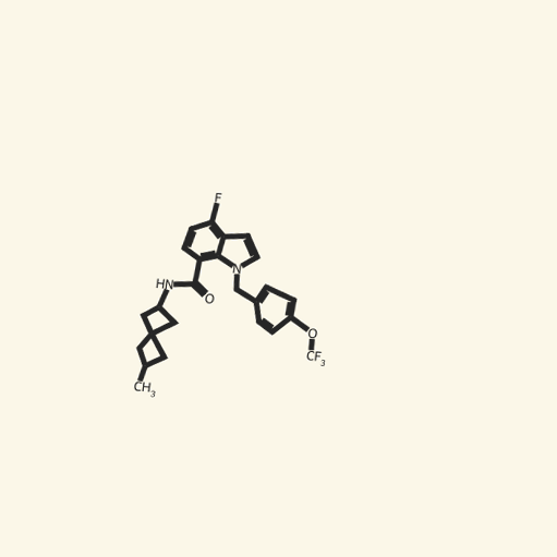 CC1CC2(C1)CC(NC(=O)c1ccc(F)c3ccn(Cc4ccc(OC(F)(F)F)cc4)c13)C2